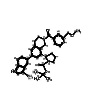 COCc1nccc(C(=O)N2CCc3cc(-c4cnc5[nH]cc(C)c5c4)cc([C@@H]4CCCN4C(=O)OC(C)(C)C)c3C2)n1